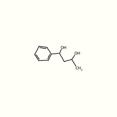 CC(O)CC(O)c1ccccc1